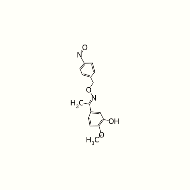 COc1ccc(/C(C)=N/OCc2ccc(N=O)cc2)cc1O